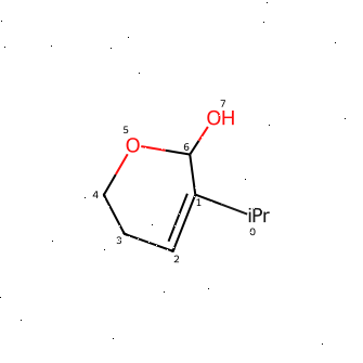 CC(C)C1=CCCOC1O